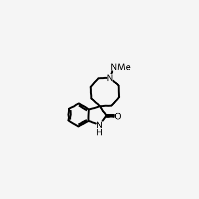 CNN1CCCC2(CCC1)C(=O)Nc1ccccc12